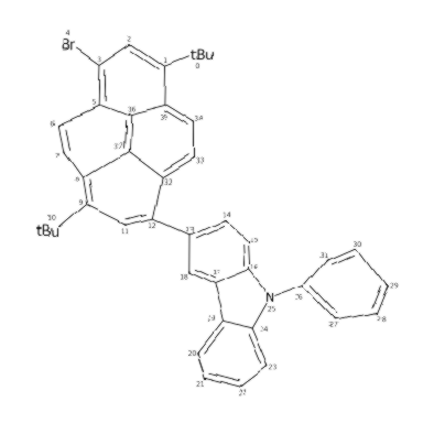 CC(C)(C)c1cc(Br)c2ccc3c(C(C)(C)C)cc(-c4ccc5c(c4)c4ccccc4n5-c4ccccc4)c4ccc1c2c43